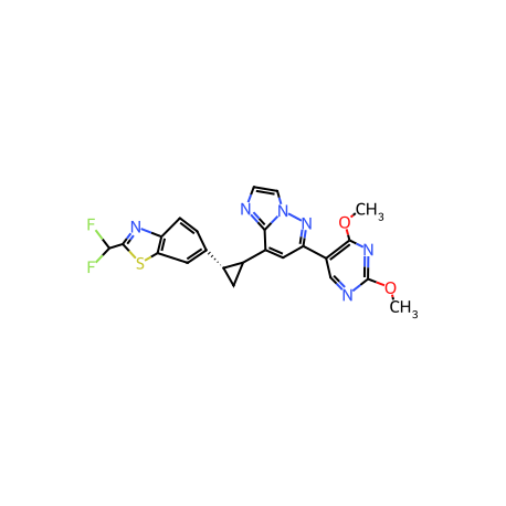 COc1ncc(-c2cc(C3C[C@@H]3c3ccc4nc(C(F)F)sc4c3)c3nccn3n2)c(OC)n1